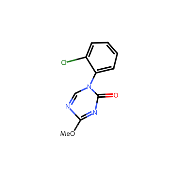 COc1ncn(-c2ccccc2Cl)c(=O)n1